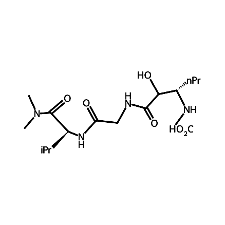 CCC[C@H](NC(=O)O)C(O)C(=O)NCC(=O)N[C@H](C(=O)N(C)C)C(C)C